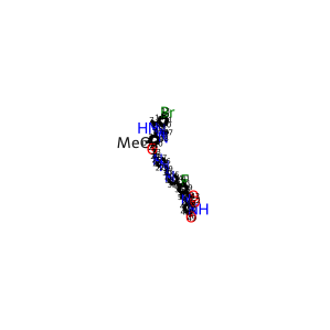 COc1cc2c(NC(C)c3cccc(Br)c3)nc(C)nc2cc1OCCN1CCN(CCN2CCC(c3cc4c(cc3F)C(=O)N(C3CCC(=O)NC3=O)C4)CC2)CC1